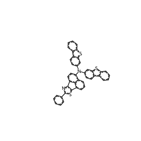 c1ccc(-c2nc3c(s2)-c2cccc4c(N(c5ccc6c(c5)sc5ccccc56)c5ccc6c(c5)sc5ccccc56)ccc-3c24)cc1